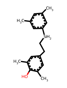 Cc1cc(C)cc([SiH2]CCc2cc(C)c(O)c(C)c2)c1